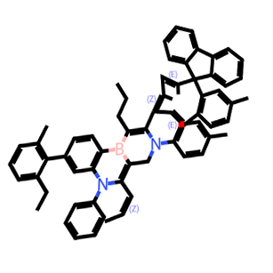 C/C=C\C1=C2CN(c3ccc(C)cc3)C(C3=C(C)\C=C(/C)C4(c5cc(C)ccc5\C=C\3)c3ccccc3-c3ccccc34)=C(CCC)B2c2ccc(-c3c(C)cccc3CC)cc2N1c1ccccc1